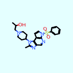 Cc1nc2cnc3c(ccn3S(=O)(=O)c3ccccc3)c2n1C1CCN(CC(C)O)CC1